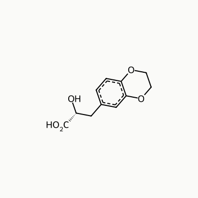 O=C(O)[C@H](O)Cc1ccc2c(c1)OCCO2